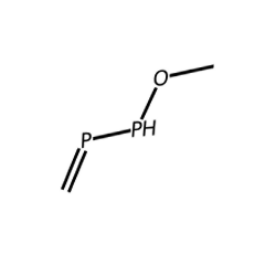 C=PPOC